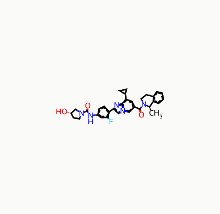 C[C@@H]1c2ccccc2CCN1C(=O)c1cc(C2CC2)c2nc(-c3ccc(NC(=O)N4CC[C@H](O)C4)cc3F)cn2c1